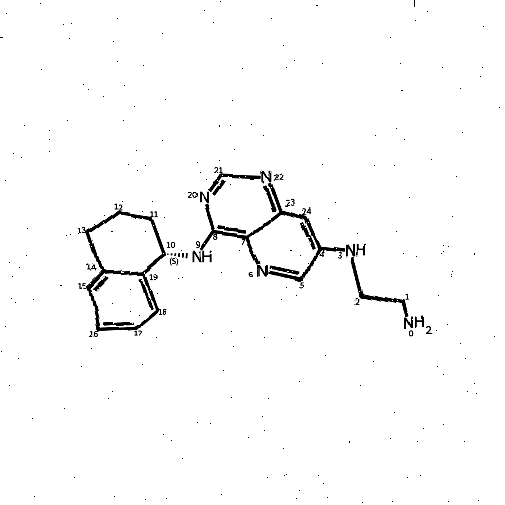 NCCNc1cnc2c(N[C@H]3CCCc4ccccc43)ncnc2c1